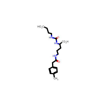 Cc1ccc(CC(=O)NCCCC(NC(=O)NCCCC(=O)O)C(=O)O)cc1